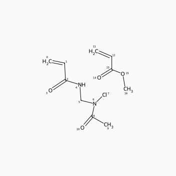 C=CC(=O)NCN(Cl)C(C)=O.C=CC(=O)OC